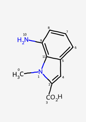 Cn1c(C(=O)O)cc2cccc(N)c21